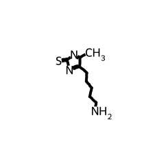 CC1=NC(=S)N=C1CCCCCN